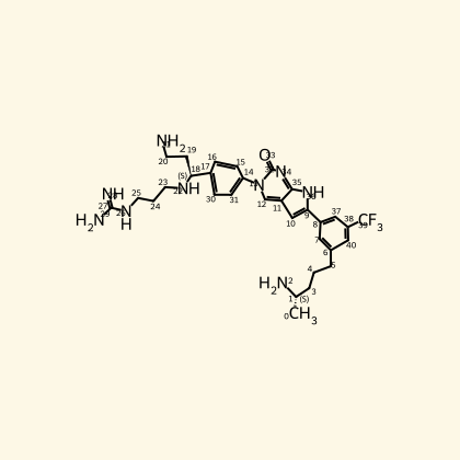 C[C@H](N)CCCc1cc(-c2cc3cn(-c4ccc([C@H](CCN)NCCCNC(=N)N)cc4)c(=O)nc3[nH]2)cc(C(F)(F)F)c1